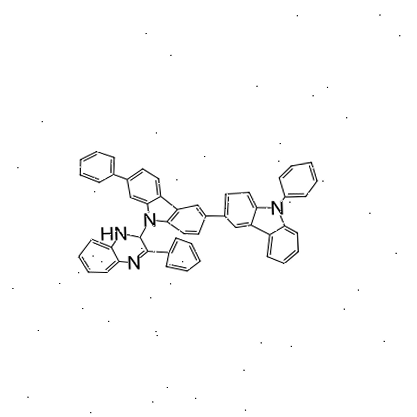 c1ccc(C2=Nc3ccccc3NC2n2c3ccc(-c4ccc5c(c4)c4ccccc4n5-c4ccccc4)cc3c3ccc(-c4ccccc4)cc32)cc1